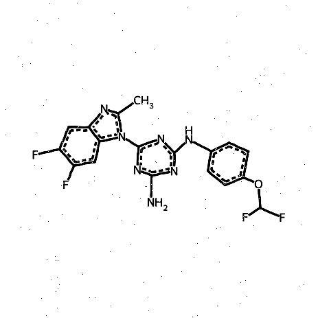 Cc1nc2cc(F)c(F)cc2n1-c1nc(N)nc(Nc2ccc(OC(F)F)cc2)n1